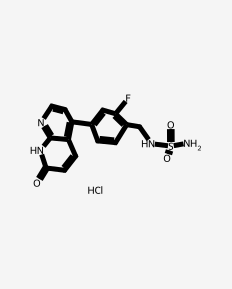 Cl.NS(=O)(=O)NCc1ccc(-c2ccnc3[nH]c(=O)ccc23)cc1F